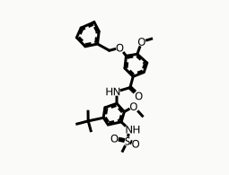 COc1ccc(C(=O)Nc2cc(C(C)(C)C)cc(NS(C)(=O)=O)c2OC)cc1OCc1ccccc1